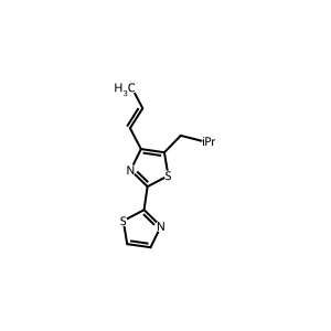 C/C=C/c1nc(-c2nccs2)sc1CC(C)C